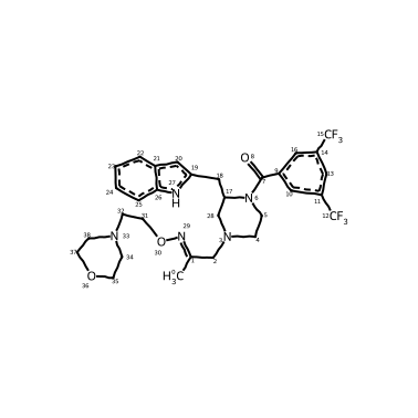 CC(CN1CCN(C(=O)c2cc(C(F)(F)F)cc(C(F)(F)F)c2)C(Cc2cc3ccccc3[nH]2)C1)=NOCCN1CCOCC1